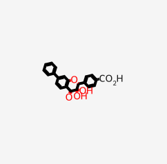 O=C(O)c1ccc(C2Oc3cc(-c4ccccc4)ccc3C(=O)C2(O)O)cc1